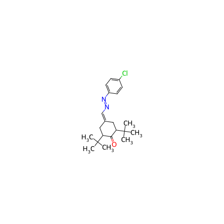 CC(C)(C)C1CC(=CN=Nc2ccc(Cl)cc2)CC(C(C)(C)C)C1=O